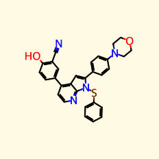 N#Cc1cc(-c2ccnc3c2cc(-c2ccc(N4CCOCC4)cc2)n3Sc2ccccc2)ccc1O